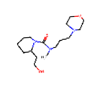 CN(CCCN1CCOCC1)C(=O)N1CCCCC1CCO